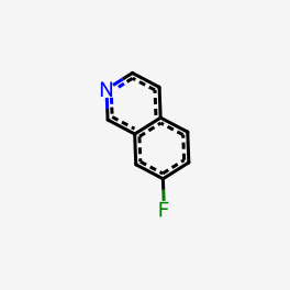 Fc1ccc2ccncc2c1